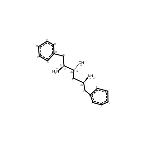 N[C@@H](Cc1ccccc1)C[C@@H](O)[C@@H](N)Cc1ccccc1